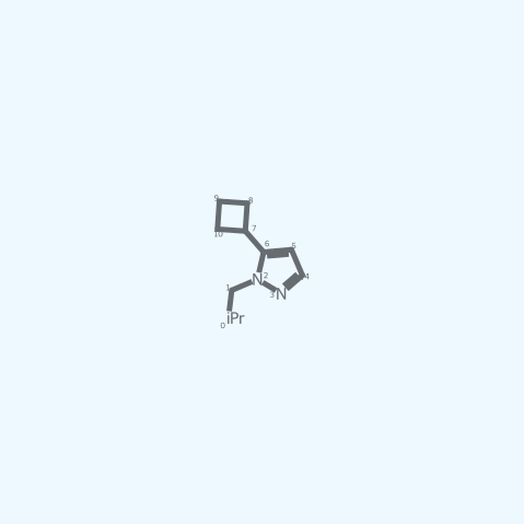 CC(C)Cn1n[c]cc1C1CCC1